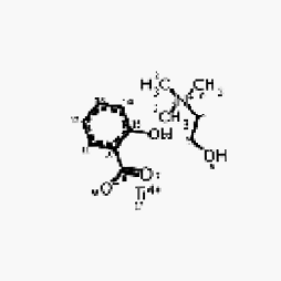 C[N+](C)(C)CCO.O=C([O-])c1ccccc1O.[Ti+4]